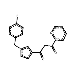 O=C(CC(=O)c1ccccn1)c1ccn(Cc2ccc(F)cc2)c1